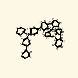 c1ccc(-c2ccc(N(c3ccccc3)c3ccc(-c4ccc5c(c4)C4(c6ccccc6-5)c5ccccc5-n5c6ccccc6c6cccc4c65)cc3)cc2)cc1